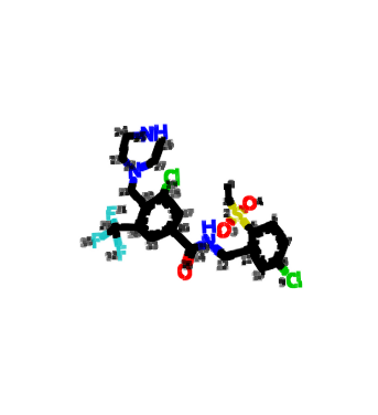 CCS(=O)(=O)c1ccc(Cl)cc1CNC(=O)c1cc(Cl)c(CN2CCNCC2)c(C(F)(F)F)c1